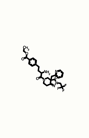 CCOC(=O)c1ccc(CCC(N)C(=O)N2CCC3=NN(CC(F)(F)F)C(=O)C3(Cc3ccccn3)C2)cc1